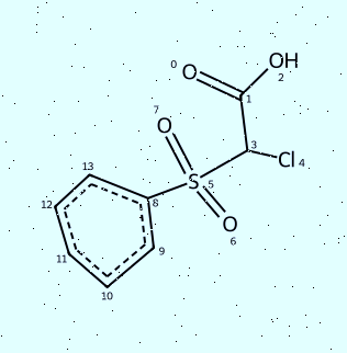 O=C(O)C(Cl)S(=O)(=O)c1ccccc1